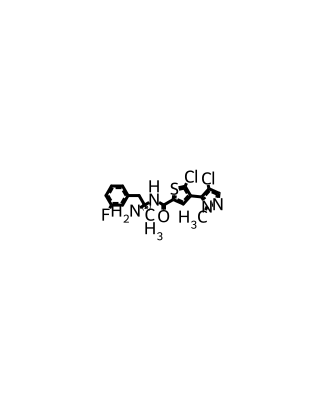 Cn1ncc(Cl)c1-c1cc(C(=O)N[C@](C)(N)Cc2cccc(F)c2)sc1Cl